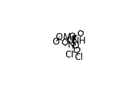 COC(=O)c1ccc(N(Cc2cccc(Cl)c2Cl)S(=O)(=O)NC(=O)c2ccccc2)cc1